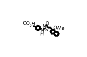 COc1c(/C=C2\SC(Nc3ccc(CC(=O)O)cc3)=NC2=O)ccc2ccccc12